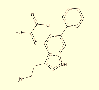 NCCc1c[nH]c2cc(-c3ccccc3)ccc12.O=C(O)C(=O)O